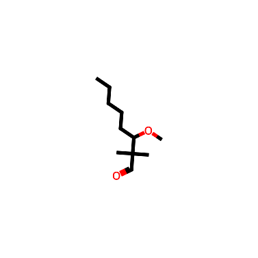 CCCCCC(OC)C(C)(C)C=O